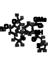 CCOc1cc2c(c3c1OC(C)(C)C3)C(c1ccc(C(=O)OC)c(NC(=O)Cc3cccs3)c1)=NC(C)(C)C2